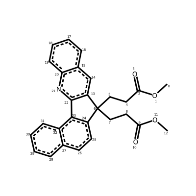 COC(=O)CCC1(CCC(=O)OC)c2cc3ccccc3nc2-c2c1ccc1ccccc21